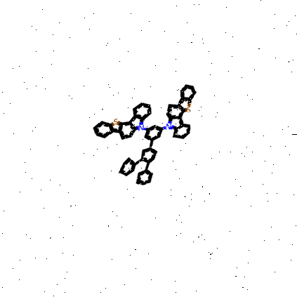 c1ccc(-c2ccc(-c3cc(-n4c5ccccc5c5c6sc7ccccc7c6ccc54)cc(-n4c5ccccc5c5c6sc7ccccc7c6ccc54)c3)cc2-c2ccccc2)cc1